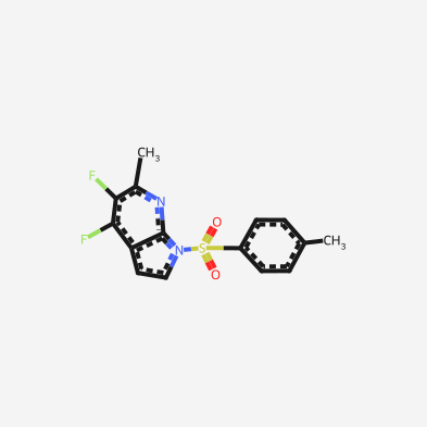 Cc1ccc(S(=O)(=O)n2ccc3c(F)c(F)c(C)nc32)cc1